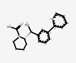 O=C(O)N1CCCC[C@H]1C(O)c1cccc(-c2ccccn2)c1